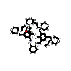 C=CC[N+]1(Cc2cc(/C=N/C3CCCCC3/N=C/c3cc(C[N+]4(CC=C)CCOCC4)cc(C[N+]4(CC=C)CCOCC4)c3O)c(O)c(C[N+]3(CC=C)CCOCC3)c2)CCOCC1